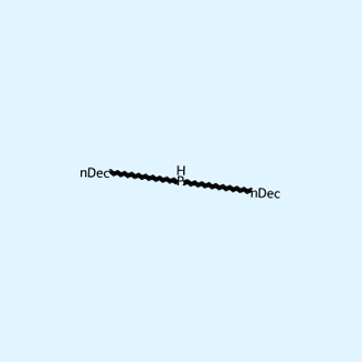 CCCCCCCCCCCCCCCCCCCCCCCCCCCCC=CPC=CCCCCCCCCCCCCCCCCCCCCCCCCCCCC